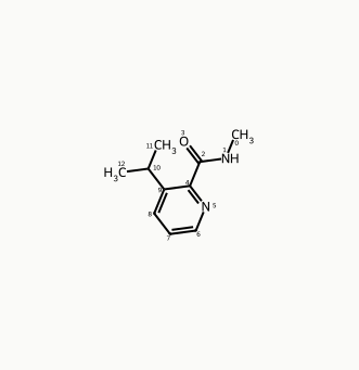 CNC(=O)c1ncccc1C(C)C